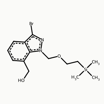 C[Si](C)(C)CCOCn1nc(Br)c2cccc(CO)c21